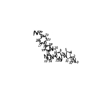 CN1CC2(CCN(c3cc4c(cn3)-n3ccnc3-c3cc(-c5ccc(C#N)cc5)cn3C4)C2)C1